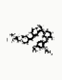 COc1ccc(CN2C(=O)CCN(c3cnn4ccc(CC5CCN(CC(C)(C)O)CC5)cc34)C2=O)c(OC)c1